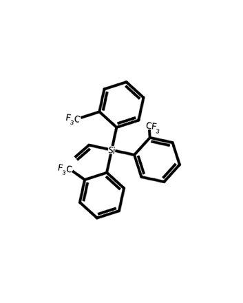 C=C[Si](c1ccccc1C(F)(F)F)(c1ccccc1C(F)(F)F)c1ccccc1C(F)(F)F